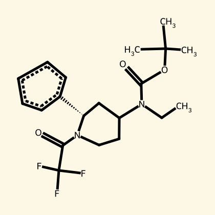 CCN(C(=O)OC(C)(C)C)C1CCN(C(=O)C(F)(F)F)[C@H](c2ccccc2)C1